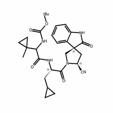 CC(C)(C)OC(=O)NC(C(=O)N[C@@H](CC1CC1)C(=O)N1C[C@]2(C[C@H]1C#N)C(=O)Nc1ccccc12)C1(C)CC1